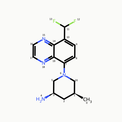 C[C@H]1C[C@@H](N)CN(c2ccc(C(F)F)c3nccnc23)C1